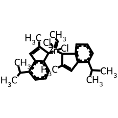 C[CH]=[Zr]([Cl])([Cl])([CH]1C(C)=Cc2c(C(C)C)cccc21)[CH]1C(C)=Cc2c(C(C)C)cccc21